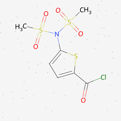 CS(=O)(=O)N(c1ccc(C(=O)Cl)s1)S(C)(=O)=O